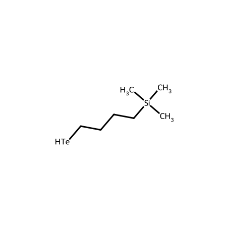 C[Si](C)(C)CCCC[TeH]